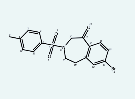 Cc1ccc(S(=O)(=O)N2CCc3cc(Br)ccc3C(=O)C2)cc1